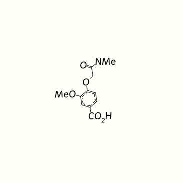 CNC(=O)COc1ccc(C(=O)O)cc1OC